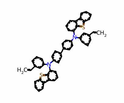 C=Cc1cccc(N(c2ccc(-c3ccc(N(c4cccc(C=C)c4)c4cccc5c4sc4ccccc45)cc3)cc2)c2cccc3c2sc2ccccc23)c1